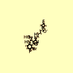 [O-][S+](CCCCNc1nonc1/C(=N/O)Nc1ccc(F)c(Br)c1)N1CC(F)C1